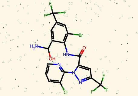 NC(O)c1cc(C(F)(F)F)cc(Br)c1NC(=O)c1cc(C(F)(F)F)nn1-c1ncccc1Cl